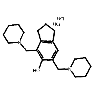 Cl.Cl.Oc1c(CN2CCCCC2)cc2c(c1CN1CCCCC1)CCC2